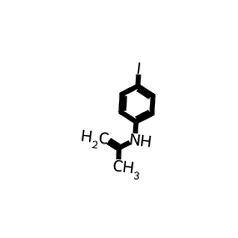 C=C(C)Nc1ccc(I)cc1